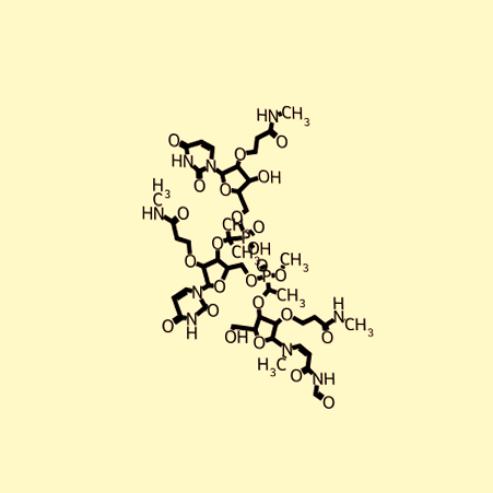 CNC(=O)CCOC1C(OC(C)P(=O)(OC)OCC2OC(n3ccc(=O)[nH]c3=O)C(OCCC(=O)NC)C2OC(C)(C)P(=O)(O)OCC2OC(n3ccc(=O)[nH]c3=O)C(OCCC(=O)NC)C2O)C(CO)OC1N(C)/C=C\C(=O)NC=O